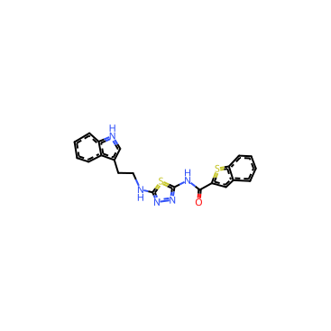 O=C(Nc1nnc(NCCc2c[nH]c3ccccc23)s1)c1cc2ccccc2s1